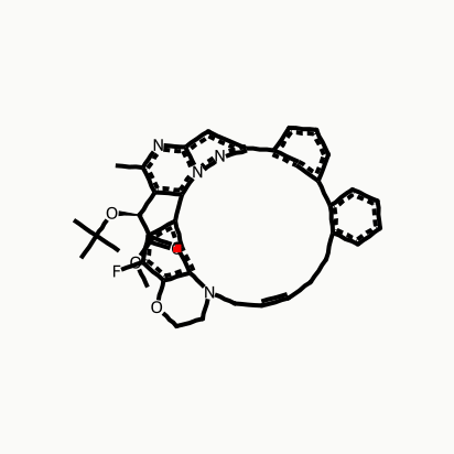 COC(=O)[C@@H](OC(C)(C)C)c1c(C)nc2cc3nn2c1-c1cc(F)c2c(c1)N(CC=CCCc1ccccc1-c1cccc-3c1)CCO2